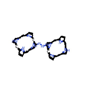 C1=Cc2cc3cc(N=Nc4cc5cc6nc(cc7ccc(cc8nc(cc4[nH]5)C=C8)[nH]7)C=C6)c(cc4nc(cc5ccc(cc1n2)[nH]5)C=C4)[nH]3